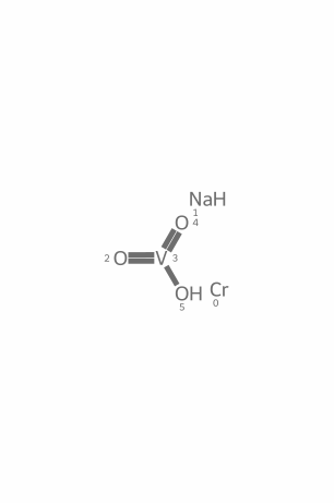 [Cr].[NaH].[O]=[V](=[O])[OH]